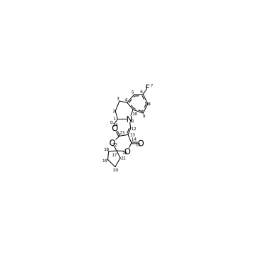 CC1CCc2cc(F)ccc2N1C=C1C(=O)OC2(CCCC2)OC1=O